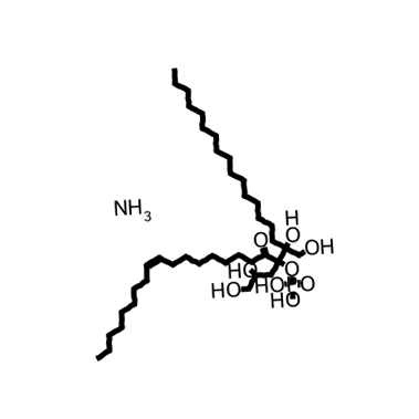 CCCCCCCC/C=C\CCCCCCCC(=O)C(CC(O)CO)(OP(=O)(O)O)C(O)(CO)CCCCCCCCCCCCCCCC.N